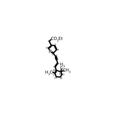 CCOC(=O)Cc1ccc(C#CC=CC2=C(C)CCCC2(C)C)nc1